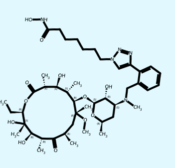 CC[C@H]1OC(=O)[C@H](C)[C@@H](O)[C@H](C)[C@@H](O[C@@H]2O[C@H](C)C[C@H](N(C)Cc3ccccc3-c3cn(CCCCCCC(=O)NO)nn3)[C@H]2O)[C@](C)(OC)C[C@@H](C)C(=O)[C@H](C)[C@@H](O)[C@]1(C)O